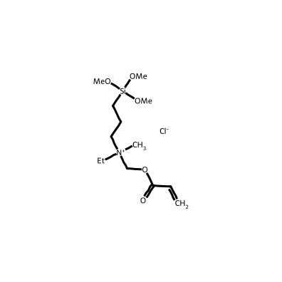 C=CC(=O)OC[N+](C)(CC)CCC[Si](OC)(OC)OC.[Cl-]